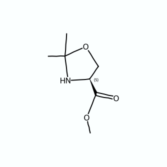 COC(=O)[C@@H]1COC(C)(C)N1